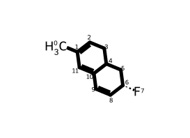 CC1=CCC2C[C@H](F)C=CC2=C1